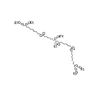 CCOCOCC(CCCCCCCCOC(=O)CCCCCCCC(OCOCC)C(CCCCCCCC(=O)OCCCCCCCCC(COCOCC)OCOCC)OC(=O)CC)OCOCC